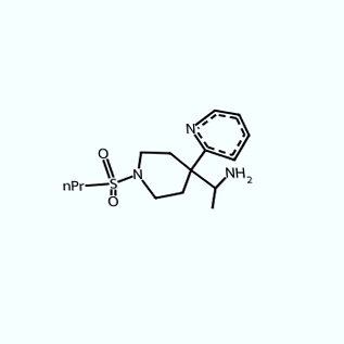 CCCS(=O)(=O)N1CCC(c2ccccn2)(C(C)N)CC1